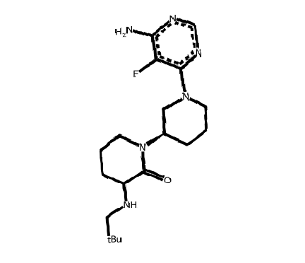 CC(C)(C)CNC1CCCN([C@@H]2CCCN(c3ncnc(N)c3F)C2)C1=O